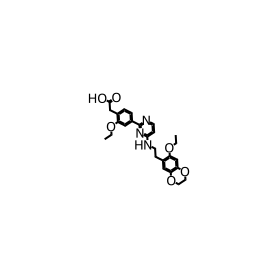 CCOc1cc2c(cc1CCNc1ccnc(-c3ccc(CC(=O)O)c(OCC)c3)n1)OCCO2